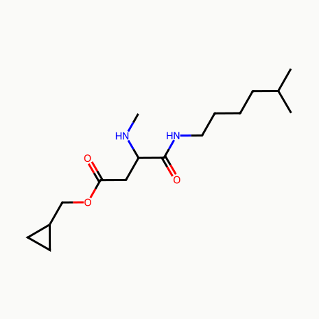 CNC(CC(=O)OCC1CC1)C(=O)NCCCCC(C)C